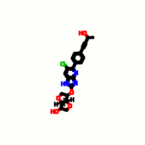 CC(O)C#Cc1ccc(-c2nc3nc(OC4CO[C@@H]5C(O)CO[C@H]45)[nH]c3cc2Cl)cc1